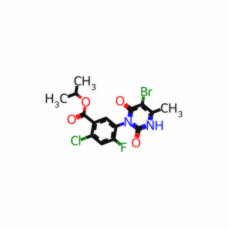 Cc1[nH]c(=O)n(-c2cc(C(=O)OC(C)C)c(Cl)cc2F)c(=O)c1Br